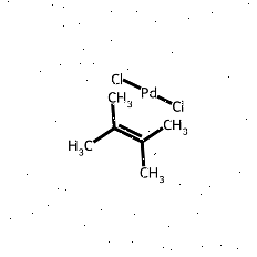 CC(C)=C(C)C.[Cl][Pd][Cl]